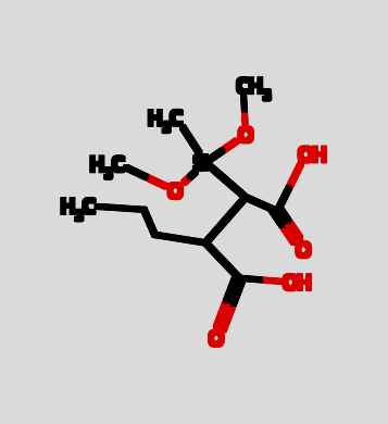 CCCC(C(=O)O)C(C(=O)O)[Si](C)(OC)OC